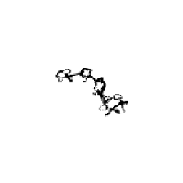 CC1(c2ccc(-c3ccc(B4OC(C)(C)C(C)(C)O4)s3)s2)OCCO1